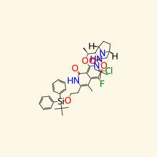 Cc1c(CCO[Si](c2ccccc2)(c2ccccc2)C(C)(C)C)[nH]c(=O)c2c(O[C@@H](C)[C@H]3NC[C@H]4CC[C@@H]3N4C(=O)OC(C)(C)C)nc(Cl)c(F)c12